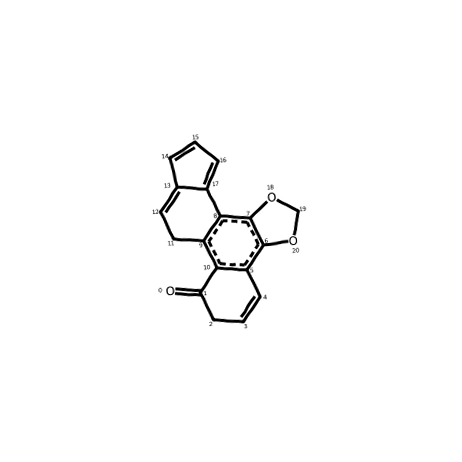 O=C1CC=Cc2c3c(c4c(c21)CC=C1C=CC=C14)OCO3